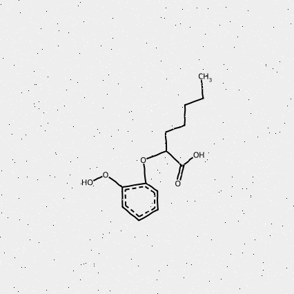 CCCCCC(Oc1ccccc1OO)C(=O)O